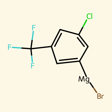 FC(F)(F)c1cc(Cl)c[c]([Mg][Br])c1